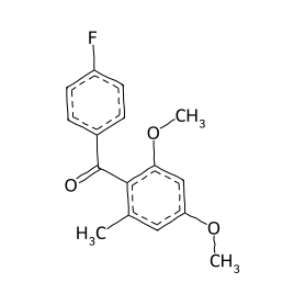 COc1cc(C)c(C(=O)c2ccc(F)cc2)c(OC)c1